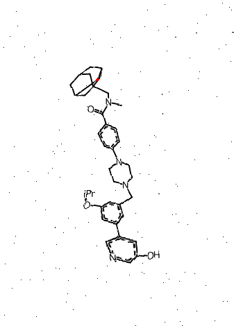 CC(C)Oc1cc(CN2CCN(c3ccc(C(=O)N(C)CC45CC6CC(CC(C6)C4)C5)cc3)CC2)cc(-c2cncc(O)c2)c1